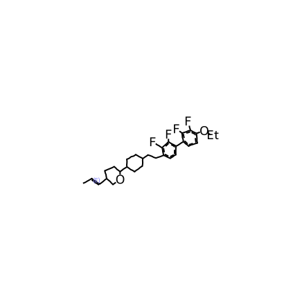 C/C=C/C1CCC(C2CCC(CCc3ccc(-c4ccc(OCC)c(F)c4F)c(F)c3F)CC2)OC1